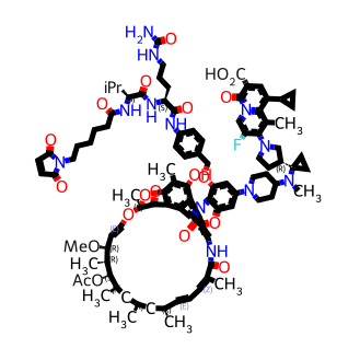 CO[C@H]1/C=C/O[C@@]2(C)Oc3c(C)c(O)c4c(=O)c(c5oc6cc(N7CCC(N(C)C8([C@@H]9CCN(c%10c(F)cn%11c(=O)c(C(=O)O)cc(C%12CC%12)c%11c%10C)C9)CC8)CC7)cc(OCc7ccc(NC(=O)[C@H](CCCNC(N)=O)NC(=O)[C@@H](NC(=O)CCCCCN8C(=O)C=CC8=O)C(C)C)cc7)c6nc-5c4c3C2=O)NC(=O)/C(C)=C\C=C\[C@H](C)C[C@@H](C)C[C@@H](C)[C@H](OC(C)=O)[C@@H]1C